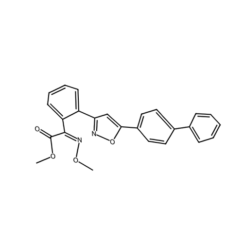 CON=C(C(=O)OC)c1ccccc1-c1cc(-c2ccc(-c3ccccc3)cc2)on1